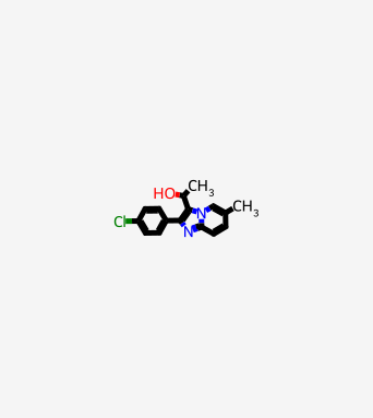 Cc1ccc2nc(-c3ccc(Cl)cc3)c(C(C)O)n2c1